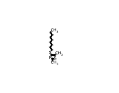 CCCCCCCCCSc1pc(C)sc1C